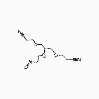 N#CCCOCC(COCCC#N)OCCN=O